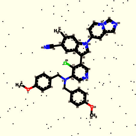 COc1ccc(CN(Cc2ccc(OC)cc2)c2cncc(-c3cn(-c4ccn5cncc5c4)c4cc(C)c(C#N)cc34)c2Cl)cc1